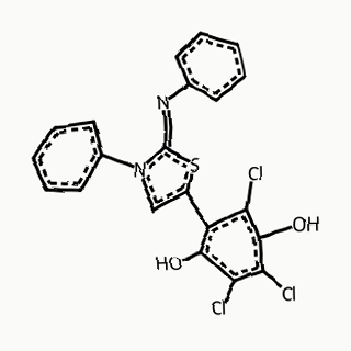 Oc1c(Cl)c(Cl)c(O)c(-c2cn(-c3ccccc3)c(=Nc3ccccc3)s2)c1Cl